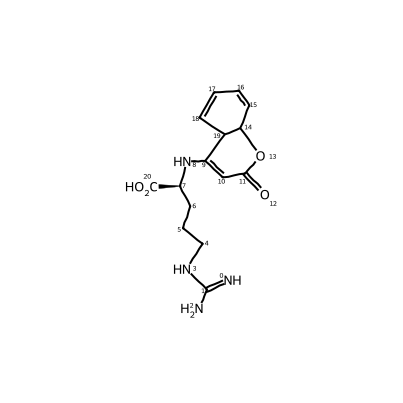 N=C(N)NCCC[C@H](NC1=CC(=O)OC2C=CC=CC12)C(=O)O